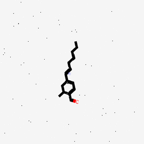 CCCCC/C=C/C1=CC=C(C=O)C(C)C1